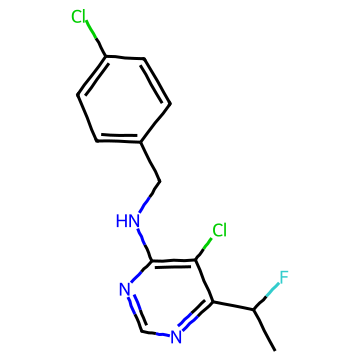 CC(F)c1ncnc(NCc2ccc(Cl)cc2)c1Cl